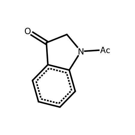 CC(=O)N1CC(=O)c2ccccc21